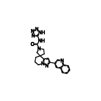 O=C(Nc1nnn[nH]1)N1CCC2(CCCn3nc(-c4cnc5ccccc5c4)cc32)C1